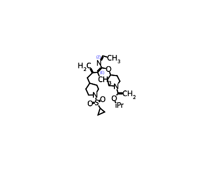 C=C(CC1CCN(S(=O)(=O)C2CC2)CC1)/C(C)=C(\N=C/C)OC1CCN(C(=C)OC(C)C)CC1